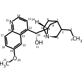 CCC1C[N@@]2CCC1C[C@H]2[C@H](O)c1ccnc2ccc(OC)cc12